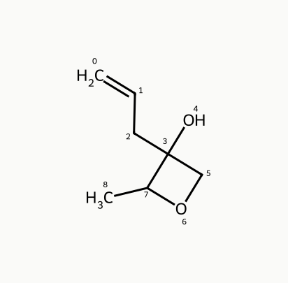 C=CCC1(O)COC1C